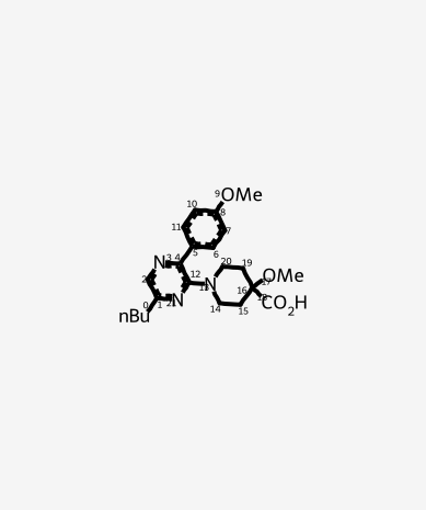 CCCCc1cnc(-c2ccc(OC)cc2)c(N2CCC(OC)(C(=O)O)CC2)n1